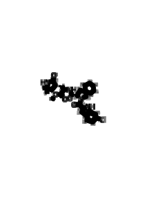 COC(=O)C(C[C@@H]1CC(C)(C)NC1=O)NC(=O)[C@@H]1CC2(CCCCC2)CN1C(=O)c1cc2ccc(Cl)cc2[nH]1